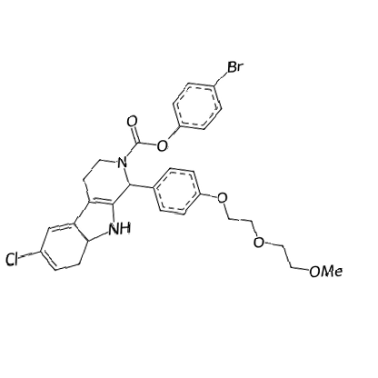 COCCOCCOc1ccc(C2C3=C(CCN2C(=O)Oc2ccc(Br)cc2)C2=CC(Cl)=CCC2N3)cc1